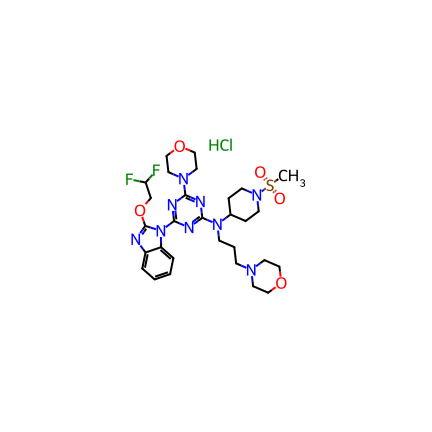 CS(=O)(=O)N1CCC(N(CCCN2CCOCC2)c2nc(N3CCOCC3)nc(-n3c(OCC(F)F)nc4ccccc43)n2)CC1.Cl